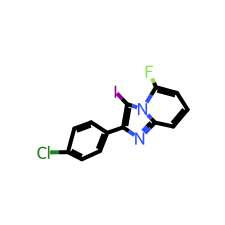 Fc1cccc2nc(-c3ccc(Cl)cc3)c(I)n12